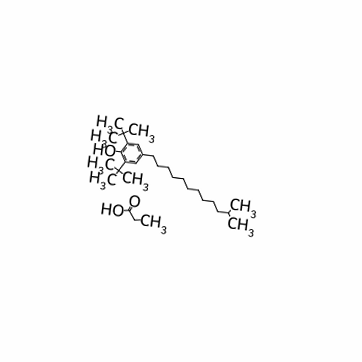 CC(C)CCCCCCCCCCc1cc(C(C)(C)C)c(O)c(C(C)(C)C)c1.CCC(=O)O